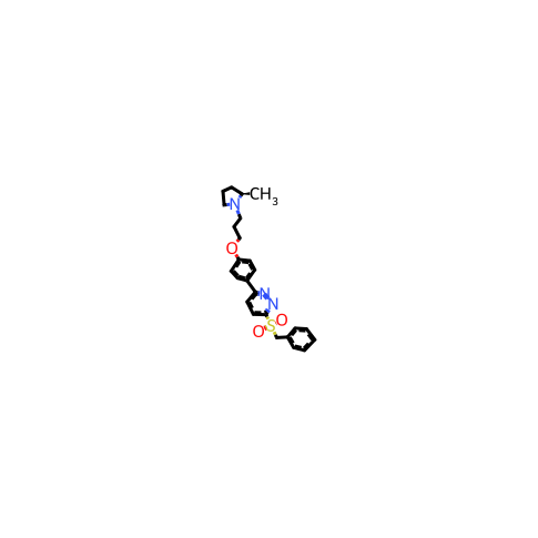 C[C@@H]1CCCN1CCCOc1ccc(-c2ccc(S(=O)(=O)Cc3ccccc3)nn2)cc1